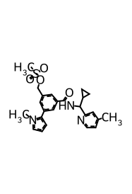 Cc1ccnc(C(NC(=O)c2cc(COS(C)(=O)=O)cc(-c3cccn3C)c2)C2CC2)c1